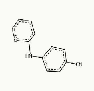 N#Cc1ccc(Nc2ccccn2)cc1